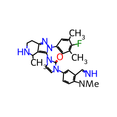 CNc1ccc(-n2ccn(-c3c4c(nn3-c3cc(C)c(F)c(C)c3)CCNC4C)c2=O)cc1C=N